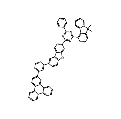 CC1(C)c2ccccc2-c2c(-c3nc(-c4ccccc4)nc(-c4ccc5c(c4)oc4ccc(-c6cccc(-c7ccc8c9ccccc9c9ccccc9c8c7)c6)cc45)n3)cccc21